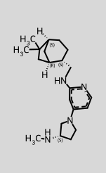 CN[C@H]1CCN(c2ccnc(NC[C@H]3CC[C@H]4C[C@@H]3CC4(C)C)c2)C1